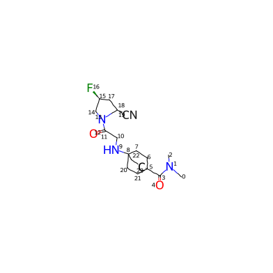 CN(C)C(=O)C12CCC(NCC(=O)N3C[C@@H](F)C[C@H]3C#N)(CC1)CC2